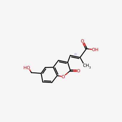 C/C(=C\c1cc2cc(CO)ccc2oc1=O)C(=O)O